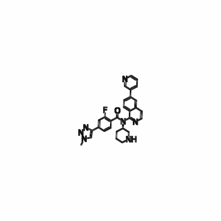 Cn1cc(-c2ccc(C(=O)N(c3nccc4cc(-c5cccnc5)ccc34)[C@@H]3CCCNC3)c(F)c2)nn1